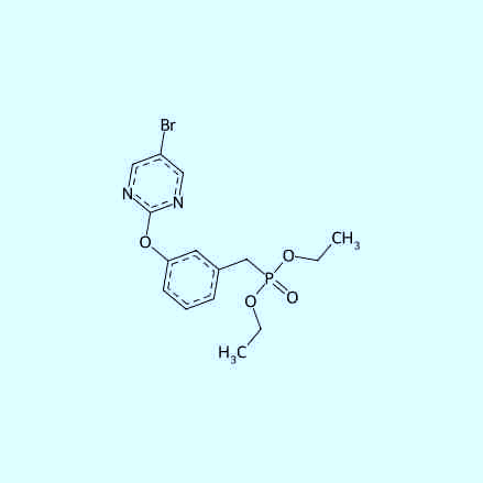 CCOP(=O)(Cc1cccc(Oc2ncc(Br)cn2)c1)OCC